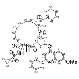 COc1ccc2c(OC3CC4C(=O)NC(C)(C(=O)NS(=O)(=O)C5CC5)CCCCCCCCC(CC(=O)N5CCCCC5)C(=O)N4C3)cc(-c3ccccc3)nc2c1